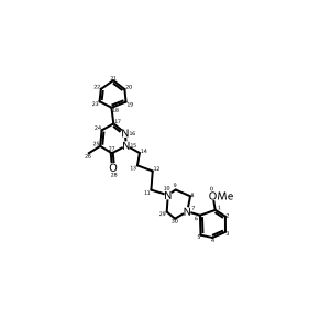 COc1ccccc1N1CCN(CCCCn2nc(-c3ccccc3)cc(C)c2=O)CC1